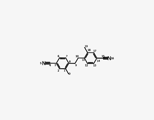 Cc1cc(C#N)ccc1CCc1ccc(C#N)cc1C